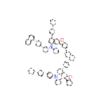 c1ccc(-c2ccc(-c3ccc(N(c4ccc(-c5ccc(-c6cccc7cc(-c8ccc9oc%10cccc(-c%11ccccc%11N(c%11ccc(-c%12ccc(-c%13ccccc%13)cc%12)cc%11)c%11cccc(-c%12ccc(-c%13cccc%14ccccc%13%14)cc%12)c%11)c%10c9c8)ccc67)cc5)cc4)c4ccccc4-c4cccc5oc6ccccc6c45)cc3)cc2)cc1